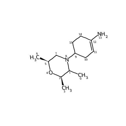 CC1[C@@H](C)O[C@@H](C)CN1C1CC=C(N)CC1